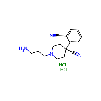 Cl.Cl.N#Cc1ccccc1C1(C#N)CCN(CCCN)CC1